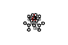 CC(C)(C)c1cc2c3c(c1)N(c1cc(-c4ccccc4)cc(-c4ccccc4)c1)c1cc4c(cc1B3c1cc3c(cc1N2c1cc(-c2ccccc2)cc(-c2ccccc2)c1)Oc1ccccc1C3(c1ccccc1)c1ccccc1)[Si](c1ccccc1)(c1ccccc1)c1ccccc1O4